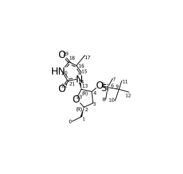 CC[C@@H]1CC(O[Si](C)(C)C(C)(C)C)[C@H](n2cc(C)c(=O)[nH]c2=O)O1